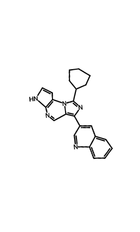 c1ccc2ncc(-c3nc(C4CCCCC4)n4c3cnc3[nH]ccc34)cc2c1